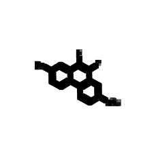 CCCCc1ccc2c(c1)c(F)c(F)c1cc(Br)ccc12